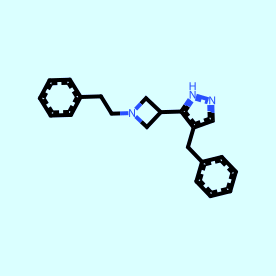 c1ccc(CCN2CC(c3[nH]ncc3Cc3ccccc3)C2)cc1